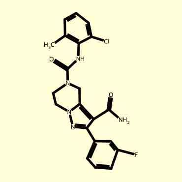 Cc1cccc(Cl)c1NC(=O)N1CCn2nc(-c3cccc(F)c3)c(C(N)=O)c2C1